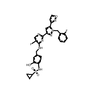 O=S(=O)(Nc1ccc(CNc2nc(-c3cc(-c4ccon4)n(Cc4ccccc4F)n3)ncc2F)cc1O)C1CC1